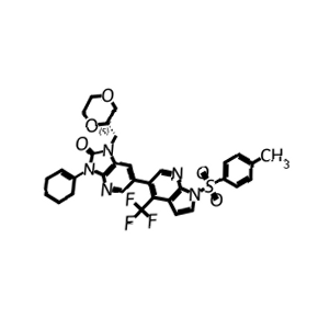 Cc1ccc(S(=O)(=O)n2ccc3c(C(F)(F)F)c(-c4cnc5c(c4)n(C[C@H]4COCCO4)c(=O)n5C4=CCCCC4)cnc32)cc1